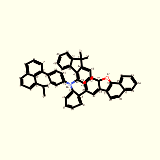 CC(C)c1cccc2cccc(-c3ccc(N(c4ccccc4C4=CCC5Oc6c(ccc7ccccc67)C5=C4)c4cccc5c4-c4ccccc4C5(C)C)cc3)c12